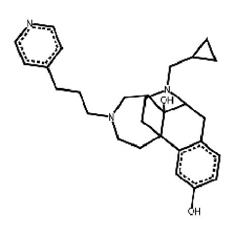 Oc1ccc2c(c1)C13CCN(CCCc4ccncc4)CCC1(O)C(C2)N(CC1CC1)CC3